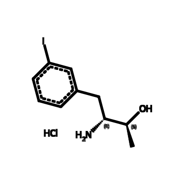 C[C@H](O)[C@H](N)Cc1cccc(I)c1.Cl